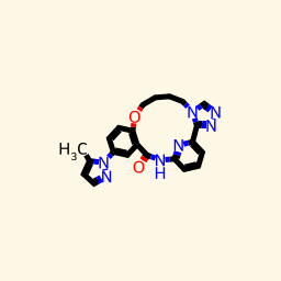 Cc1ccnn1-c1ccc2c(c1)C(=O)Nc1cccc(n1)-c1nncn1CCCCO2